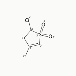 CC1=CS(=O)(=O)C(Cl)C1